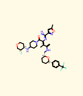 C=C(NC[C@H]1CCC[C@@H](c2ccc(C(F)(F)F)cc2)O1)/C(C)=C(\N=C(/N)c1cc(C)on1)C(=O)N1CCC(N[C@H]2CCOC[C@H]2F)CC1